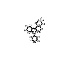 CC1(C)C=Cc2c(ccc3c2c2ccccc2n3-c2ccncc2)C1